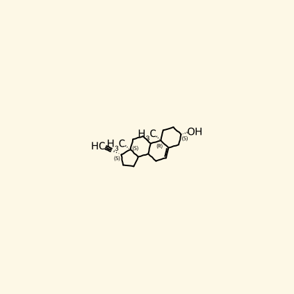 C#C[C@H]1CCC2C3CC=C4C[C@@H](O)CC[C@]4(C)C3CC[C@@]21C